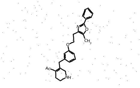 CC(=O)C1=C(Cc2cccc(OCCc3nc(-c4ccccc4)oc3C)c2)CNCC1